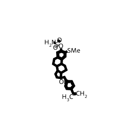 C=C(C)c1ccc(C[C@]2(O)CCC3C4CCc5cc(OS(N)(=O)=O)c(SC)cc5C4CCC32)cc1